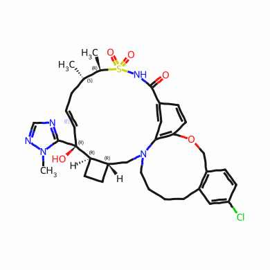 C[C@@H]1[C@@H](C)C/C=C/[C@@](O)(c2ncnn2C)[C@@H]2CC[C@H]2CN2CCCCc3cc(Cl)ccc3COc3ccc(cc32)C(=O)NS1(=O)=O